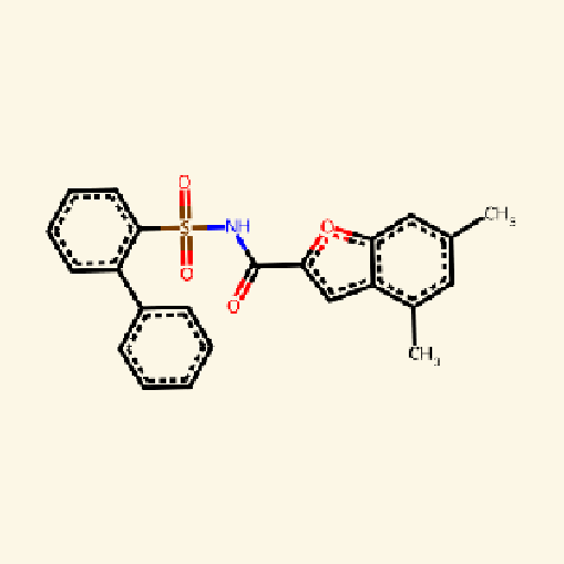 Cc1cc(C)c2cc(C(=O)NS(=O)(=O)c3ccccc3-c3ccccc3)oc2c1